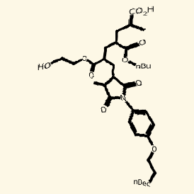 CCCCCCCCCCCCOc1ccc(N2C(=O)C(C)C(CC(CC(CC(C)C(=O)O)C(=O)OCCCC)C(=O)OCCO)C2=O)cc1